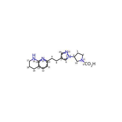 O=C(O)N1CCC(n2cc(CCc3ccc4c(n3)NCCC4)cn2)C1